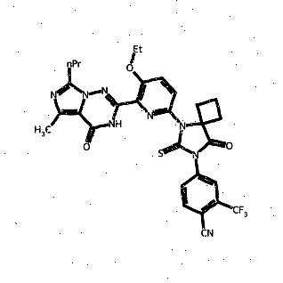 CCCc1nc(C)c2c(=O)[nH]c(-c3nc(N4C(=S)N(c5ccc(C#N)c(C(F)(F)F)c5)C(=O)C45CCC5)ccc3OCC)nn12